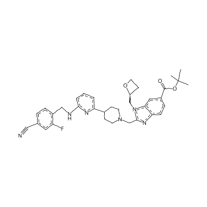 CC(C)(C)OC(=O)c1ccc2nc(CN3CCC(c4cccc(NCc5ccc(C#N)cc5F)n4)CC3)n(C[C@@H]3CCO3)c2c1